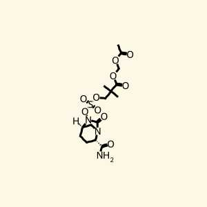 CC(=O)OCOC(=O)C(C)(C)COS(=O)(=O)ON1C(=O)N2C[C@H]1CC[C@H]2C(N)=O